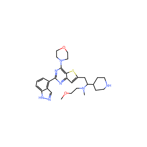 COCCN(C)C(Cc1cc2nc(-c3cccc4[nH]ncc34)nc(N3CCOCC3)c2s1)C1CCNCC1